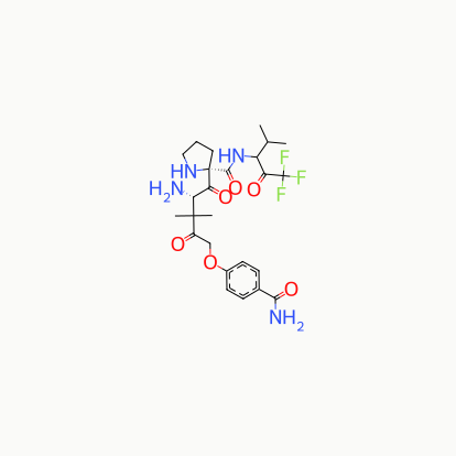 CC(C)C(NC(=O)[C@@]1(C(=O)[C@@H](N)C(C)(C)C(=O)COc2ccc(C(N)=O)cc2)CCCN1)C(=O)C(F)(F)F